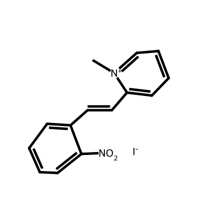 C[n+]1ccccc1C=Cc1ccccc1[N+](=O)[O-].[I-]